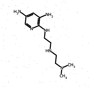 CN(C)CCNCCNc1ncc(N)cc1N